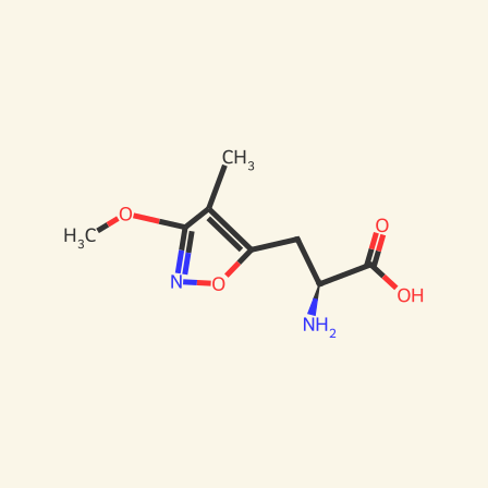 COc1noc(C[C@H](N)C(=O)O)c1C